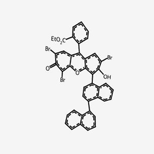 CCOC(=O)c1ccccc1-c1c2cc(Br)c(=O)c(Br)c-2oc2c(-c3ccc(-c4cccc5ccccc45)c4ccccc34)c(O)c(Br)cc12